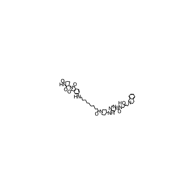 O=C1CCC(N2C(=O)c3ccc(NCCCCCCCCCC(=O)N4CCC(Nc5cc(C(=O)NC[C@H](O)CN6CCc7ccccc7C6)ncn5)CC4)cc3C2=O)C(=O)N1